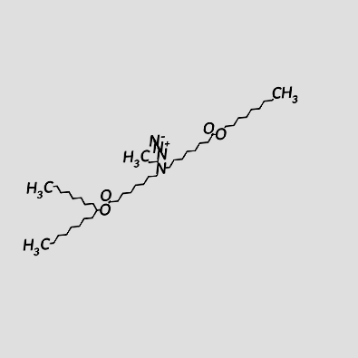 CCCCCCCCCOC(=O)CCCCCCCN(CCCCCCCC(=O)OC(CCCCCCCC)CCCCCCCC)C(CC)N=[N+]=[N-]